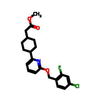 COC(=O)CC1CCC(c2cccc(OCc3ccc(Cl)cc3F)n2)CC1